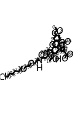 CC(=O)Oc1ccc2c(c1)Oc1c(ccc(OC(C)=O)c1CN(C)CCC(=O)NCCOCCOCCCCCCCl)C21OC(=O)c2cc(C(=O)O)ccc21